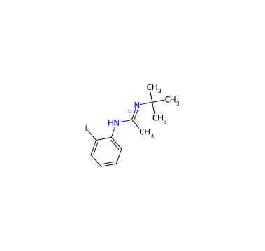 C/C(=N\C(C)(C)C)Nc1ccccc1I